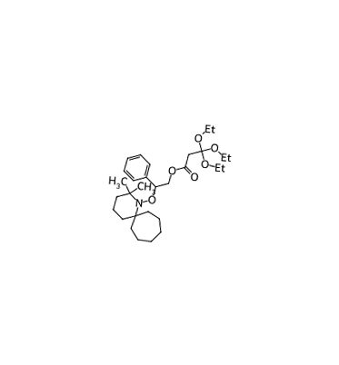 CCOC(CC(=O)OCC(ON1C(C)(C)CCCC12CCCCCC2)c1ccccc1)(OCC)OCC